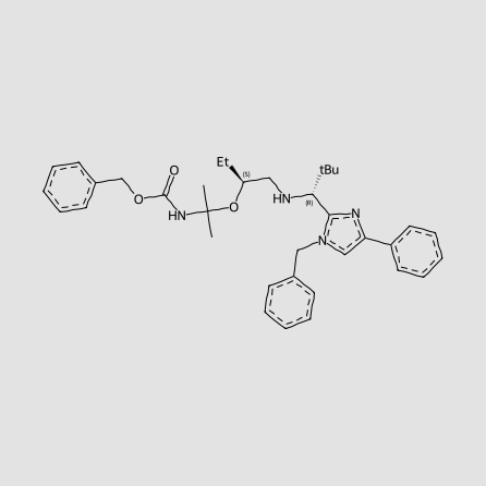 CC[C@@H](CN[C@@H](c1nc(-c2ccccc2)cn1Cc1ccccc1)C(C)(C)C)OC(C)(C)NC(=O)OCc1ccccc1